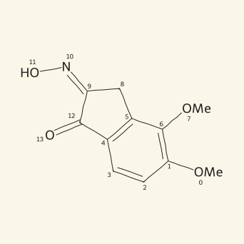 COc1ccc2c(c1OC)C/C(=N/O)C2=O